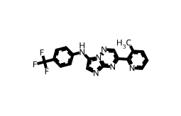 Cc1cccnc1-c1cnn2c(Nc3ccc(C(F)(F)F)cc3)cnc2n1